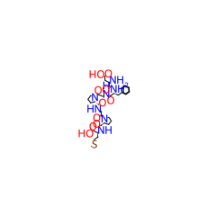 CSCC[C@H](NC(=O)[C@@H]1CCCN1C(=O)CNC(=O)[C@@H]1CCCN1C(=O)CNC(=O)[C@H](Cc1ccccc1)NC(=O)[C@@H](N)CC(=O)O)C(=O)O